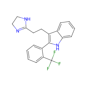 FC(F)(F)c1ccccc1-c1[nH]c2ccccc2c1CCC1=NCCN1